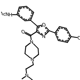 CC(=O)Nc1cccc(-c2oc(-c3ccc(C(F)(F)F)cc3)nc2C(=O)N2CCN(CCN(C)C)CC2)c1